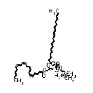 CCCCC/C=C\C/C=C\C/C=C\C/C=C\CCCC(=O)OC[C@H](COP(=O)([O-])OCC[N+](C)(C)C)OC(=O)CCCCCCCCCCCCCCCCCCC